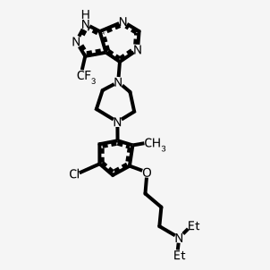 CCN(CC)CCCOc1cc(Cl)cc(N2CCN(c3ncnc4[nH]nc(C(F)(F)F)c34)CC2)c1C